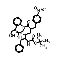 CC(C)(C)OC(=O)NC(Cc1ccccc1)C(O)CC(Cc1ccc([N+](=O)[O-])cc1)C(=O)N(CC(N)=O)c1ccccc1CCO